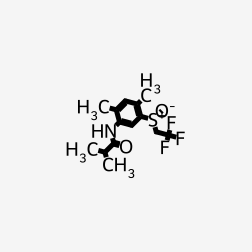 Cc1cc(C)c([S+]([O-])CC(F)(F)F)cc1NC(=O)C(C)C